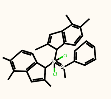 CC1=Cc2c(ccc(C)c2C)[CH]1[Zr]([Cl])([Cl])([CH]1C(C)=Cc2c1ccc(C)c2C)=[Si](C)c1ccccc1